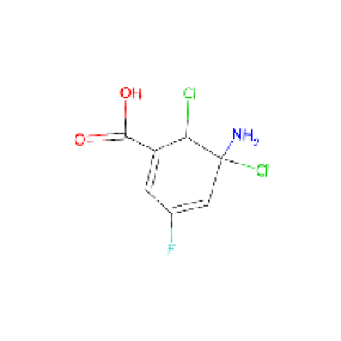 NC1(Cl)C=C(F)C=C(C(=O)O)C1Cl